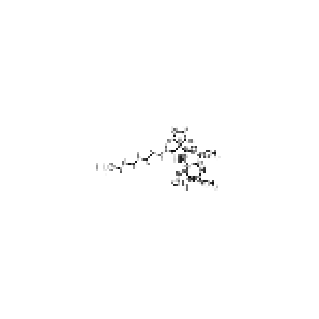 CCCCCCCCCCC1(C(=O)Nc2c(SC)nc(C)nc2SC)CCCC1